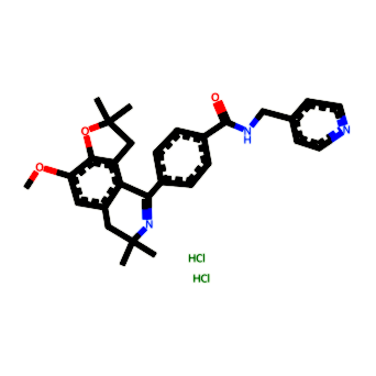 COc1cc2c(c3c1OC(C)(C)C3)C(c1ccc(C(=O)NCc3ccncc3)cc1)=NC(C)(C)C2.Cl.Cl